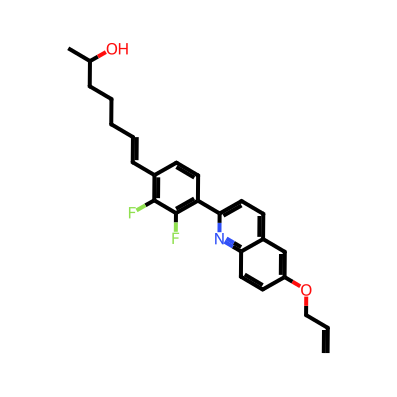 C=CCOc1ccc2nc(-c3ccc(/C=C/CCCC(C)O)c(F)c3F)ccc2c1